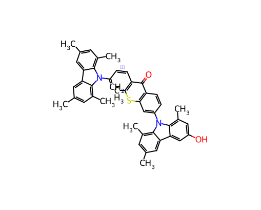 C=C(/C=C\c1c(C)sc2cc(-n3c4c(C)cc(C)cc4c4cc(O)cc(C)c43)ccc2c1=O)n1c2c(C)cc(C)cc2c2cc(C)cc(C)c21